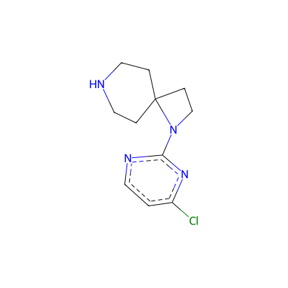 Clc1ccnc(N2CCC23CCNCC3)n1